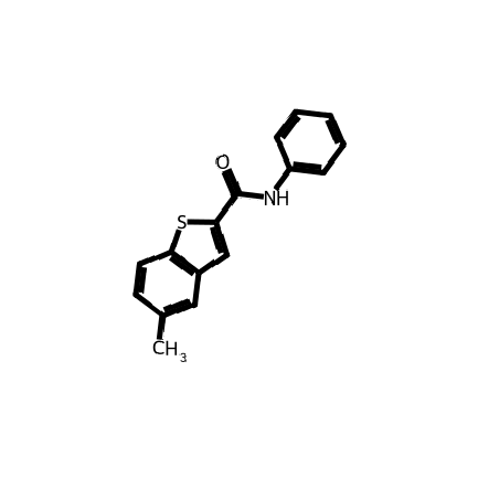 Cc1ccc2sc(C(=O)Nc3ccccc3)cc2c1